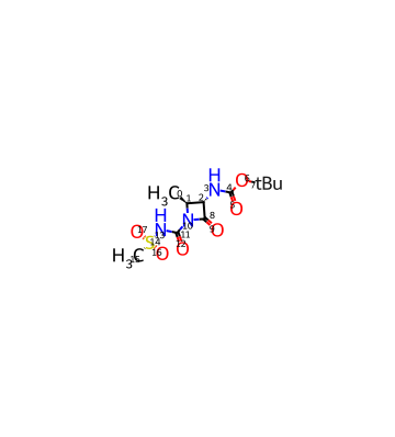 C[C@H]1[C@H](NC(=O)OC(C)(C)C)C(=O)N1C(=O)NS(C)(=O)=O